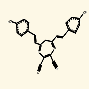 N#CC1=C(C#N)N=C(C=Cc2ccc(O)cc2)CC(C=Cc2ccc(O)cc2)=N1